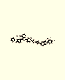 Nc1ncnc2c1c(-c1ccc(Oc3ccccc3)cc1)nn2C1CCN(C2CN(C3CN(c4ccc5c(c4)CN(C4CCC(=O)NC4=O)C5)C3)C2)CC1